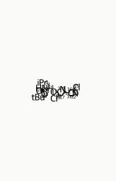 CC(C)CC(C)(COc1cnc(-c2ccnc(Cl)c2)cc1Cl)NC(=O)OC(C)(C)C